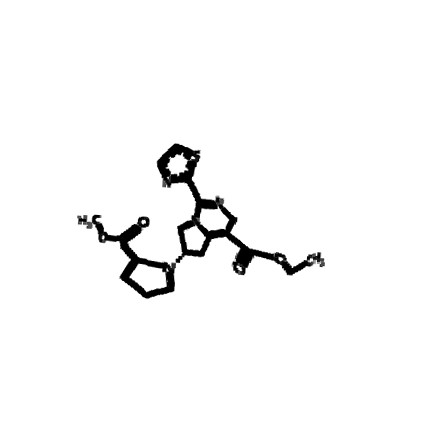 CCOC(=O)C1=C2C[C@H](N3CCCC3C(=O)OC)CN2C(c2nccs2)=NC1